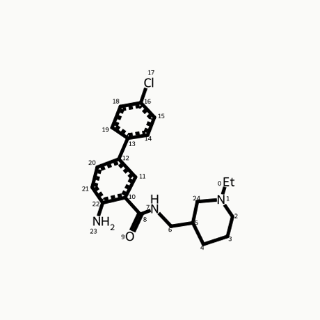 CCN1CCCC(CNC(=O)c2cc(-c3ccc(Cl)cc3)ccc2N)C1